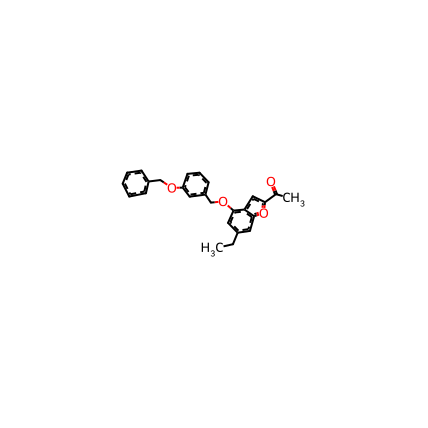 CCc1cc(OCc2cccc(OCc3ccccc3)c2)c2cc(C(C)=O)oc2c1